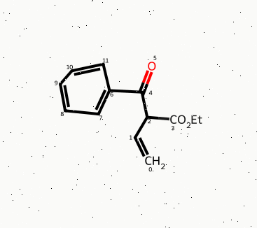 C=CC(C(=O)OCC)C(=O)c1ccccc1